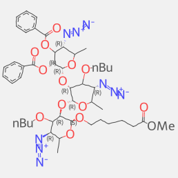 CCCCOC1[C@H](N=[N+]=[N-])C(C)O[C@H](O[C@@H]2C(OCCCC)[C@H](N=[N+]=[N-])C(C)O[C@@H]2OCCCCCC(=O)OC)[C@@H]1O[C@H]1OC(C)[C@@H](N=[N+]=[N-])C(OC(=O)c2ccccc2)[C@H]1OC(=O)c1ccccc1